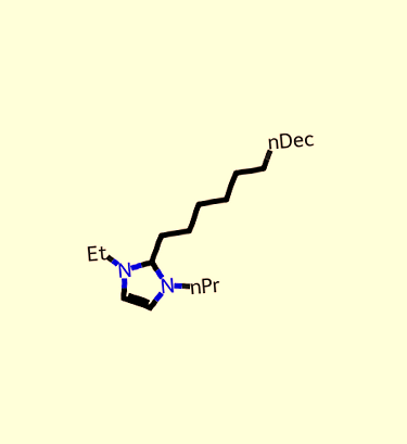 CCCCCCCCCCCCCCCCC1N(CC)C=CN1CCC